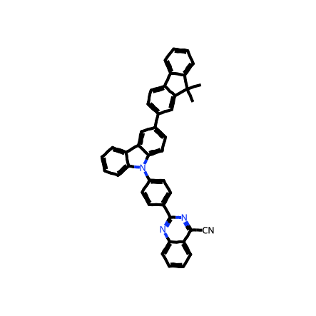 CC1(C)c2ccccc2-c2ccc(-c3ccc4c(c3)c3ccccc3n4-c3ccc(-c4nc(C#N)c5ccccc5n4)cc3)cc21